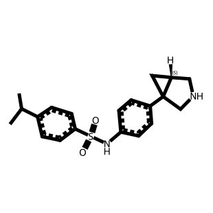 CC(C)c1ccc(S(=O)(=O)Nc2ccc(C34CNC[C@H]3C4)cc2)cc1